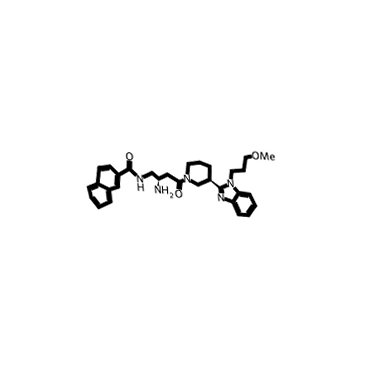 COCCCn1c([C@@H]2CCCN(C(=O)C[C@H](N)CNC(=O)c3ccc4ccccc4c3)C2)nc2ccccc21